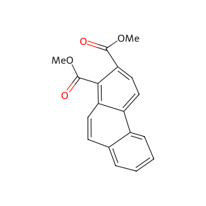 COC(=O)c1ccc2c(ccc3ccccc32)c1C(=O)OC